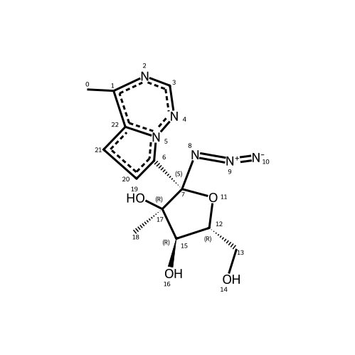 Cc1ncnn2c([C@]3(N=[N+]=[N-])O[C@H](CO)[C@@H](O)[C@@]3(C)O)ccc12